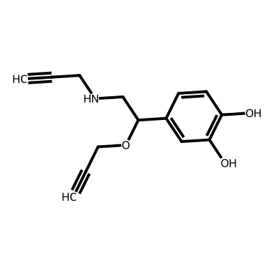 C#CCNCC(OCC#C)c1ccc(O)c(O)c1